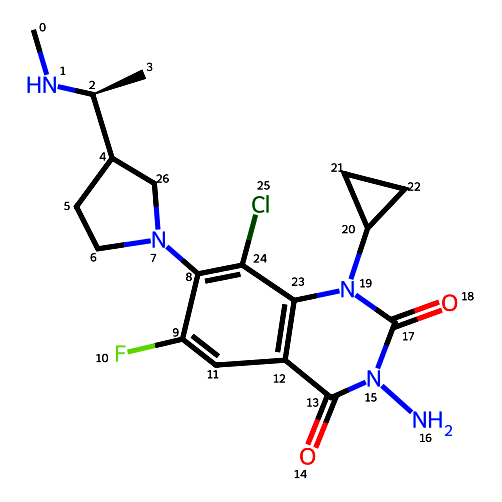 CN[C@@H](C)C1CCN(c2c(F)cc3c(=O)n(N)c(=O)n(C4CC4)c3c2Cl)C1